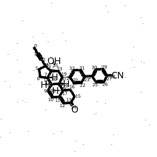 CC#C[C@]1(O)CC[C@H]2[C@@H]3C=CC4=CC(=O)CC[C@@H]4[C@H]3[C@@H](c3ccc(-c4ccc(C#N)cc4)cc3)C[C@@]21C